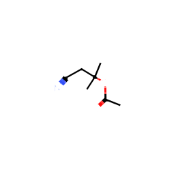 CC(=O)OC(C)(C)CC#N